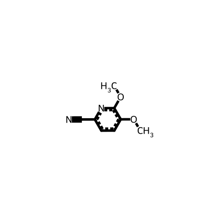 COc1ccc(C#N)nc1OC